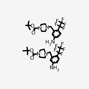 CC(C)(C)OC(=O)N1CCN(Cc2cc(N)ccc2C(F)(F)C(F)(F)F)CC1.CC(C)(C)OC(=O)N1CCN(Cc2cc(N)ccc2C(F)(F)C(F)(F)F)CC1